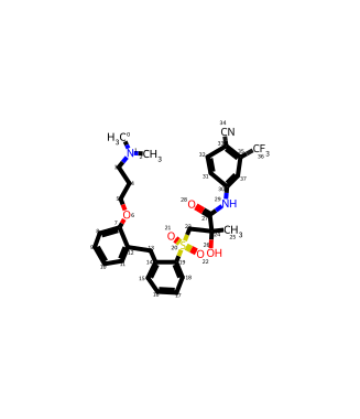 CN(C)CCCOc1ccccc1Cc1ccccc1S(=O)(=O)CC(C)(O)C(=O)Nc1ccc(C#N)c(C(F)(F)F)c1